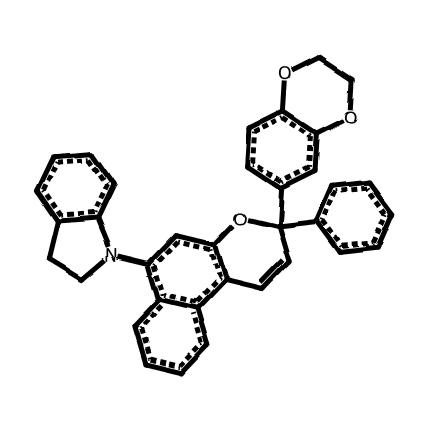 C1=CC(c2ccccc2)(c2ccc3c(c2)OCCO3)Oc2cc(N3CCc4ccccc43)c3ccccc3c21